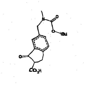 CN(Cc1ccc2c(c1)C(=O)C(C(=O)O)C2)C(=O)OC(C)(C)C